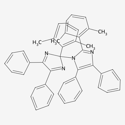 Cc1cccc(C)c1-c1nc(-c2ccccc2)c(-c2ccccc2)n1C1(c2c(C)cccc2C)N=C(c2ccccc2)C(c2ccccc2)=N1